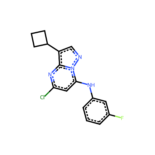 Fc1cccc(Nc2cc(Cl)nc3c(C4CCC4)cnn23)c1